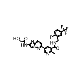 Cc1ncc(-c2ccc3nc(NC(=O)CO)cn3n2)cc1C(=O)NCc1cc(C(F)(F)F)ccc1F